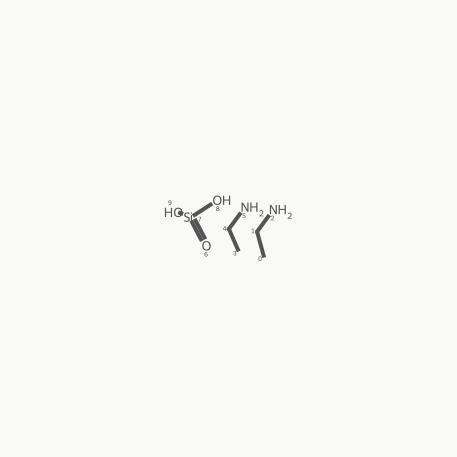 CCN.CCN.O=[Si](O)O